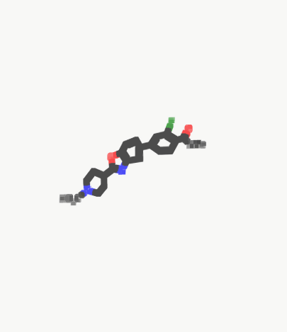 CNC(=O)c1ccc(-c2ccc3oc(C4CCN(C(=O)O)CC4)nc3c2)cc1F